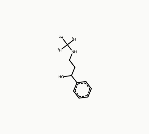 [2H]C([2H])([2H])NCCC(O)c1ccccc1